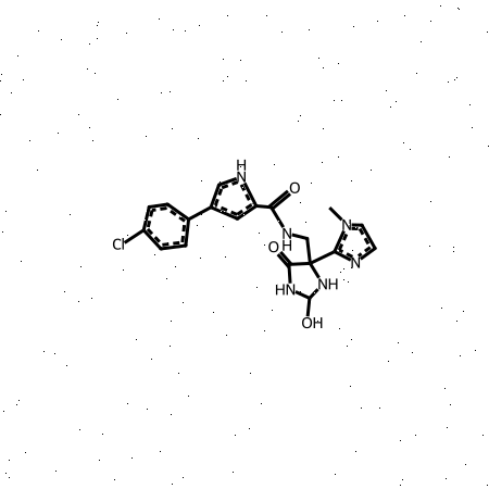 Cn1ccnc1C1(CNC(=O)c2cc(-c3ccc(Cl)cc3)c[nH]2)NC(O)NC1=O